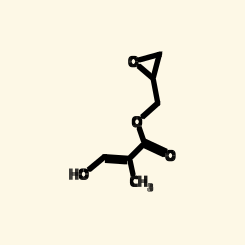 CC(=CO)C(=O)OCC1CO1